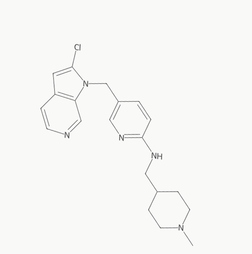 CN1CCC(CNc2ccc(Cn3c(Cl)cc4ccncc43)cn2)CC1